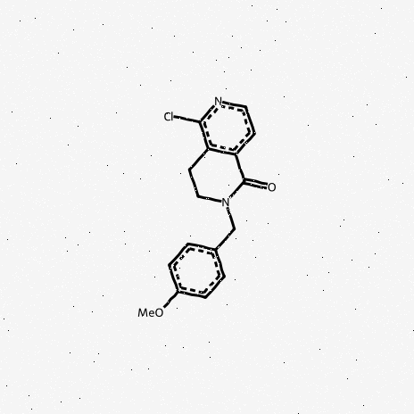 COc1ccc(CN2CCc3c(ccnc3Cl)C2=O)cc1